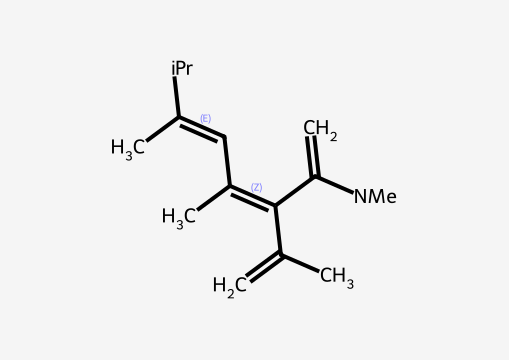 C=C(C)/C(C(=C)NC)=C(C)/C=C(\C)C(C)C